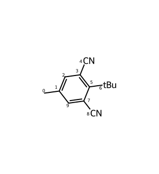 Cc1cc(C#N)c(C(C)(C)C)c(C#N)c1